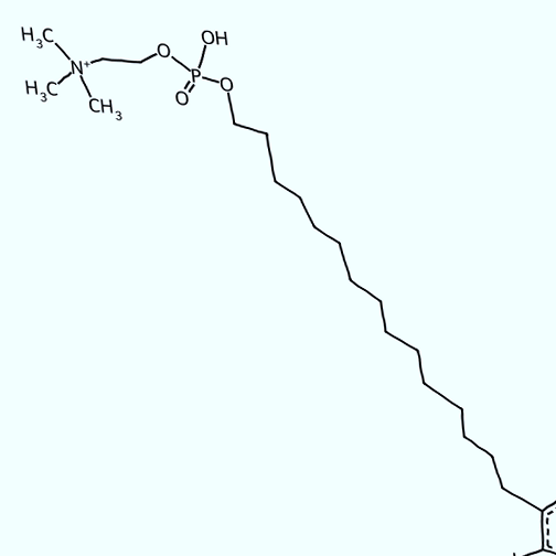 C[N+](C)(C)CCOP(=O)(O)OCCCCCCCCCCCCCCCc1ccccc1I